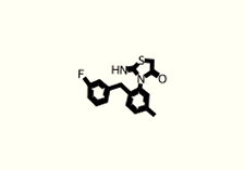 Cc1ccc(Cc2cccc(F)c2)c(N2C(=N)SCC2=O)c1